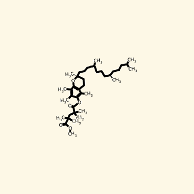 COC(=O)C(C)(C)CC(C)(P)C(=O)Oc1c(C)c(C)c2c(c1C)CC[C@](C)(CCCC(C)CCC[C@H](C)CCCC(C)C)O2